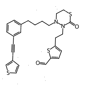 O=Cc1ccc(CCN2C(=O)SCCN2CCCCc2cccc(C#Cc3ccsc3)c2)s1